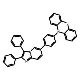 c1ccc(-c2nc3ccc(-c4ccc(N5c6ccccc6Sc6ccccc65)cc4)cn3c2-c2ccccc2)cc1